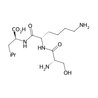 CC(C)C[C@H](NC(=O)[C@H](CCCCN)NC(=O)[C@@H](N)CO)C(=O)O